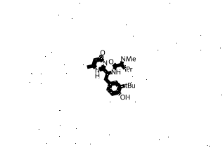 CNC(C(=O)NC(Cc1ccc(O)c(C(C)(C)C)c1)c1nc(=O)cc(C)[nH]1)C(C)C